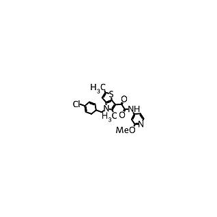 COc1cc(NC(=O)C(=O)c2c(C)n(CC3C=CC(Cl)=CC3)c3cc(C)sc23)ccn1